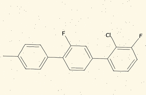 Cc1ccc(-c2ccc(-c3cccc(F)c3Cl)cc2F)cc1